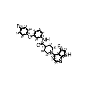 O=C(Nc1cccc(Oc2ccc(F)cc2)c1)C1CCN(c2ncnc3[nH]cc(F)c23)CC1